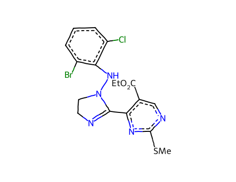 CCOC(=O)c1cnc(SC)nc1C1=NCCN1Nc1c(Cl)cccc1Br